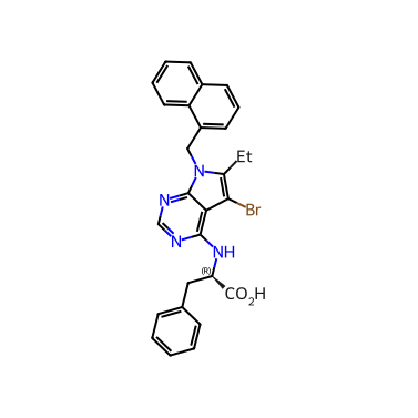 CCc1c(Br)c2c(N[C@H](Cc3ccccc3)C(=O)O)ncnc2n1Cc1cccc2ccccc12